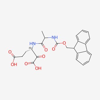 CC(NC(=O)OCC1c2ccccc2-c2ccccc21)C(=O)N[C@@H](CCC(=O)O)C(=O)C(=O)O